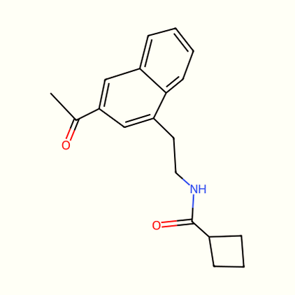 CC(=O)c1cc(CCNC(=O)C2CCC2)c2ccccc2c1